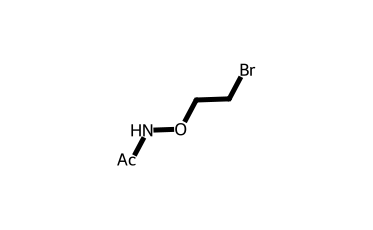 CC(=O)NOCCBr